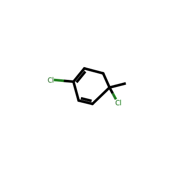 CC1(Cl)C=CC(Cl)=CC1